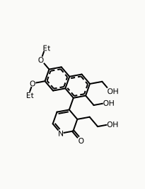 CCOc1cc2cc(CO)c(CO)c(C3=CC=NC(=O)C3CCO)c2cc1OCC